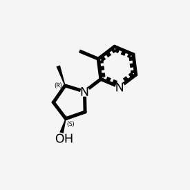 Cc1cccnc1N1C[C@@H](O)C[C@H]1C